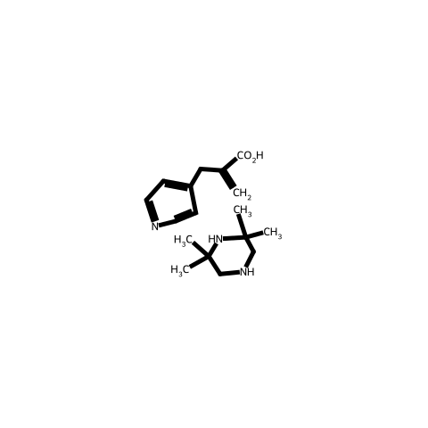 C=C(Cc1ccncc1)C(=O)O.CC1(C)CNCC(C)(C)N1